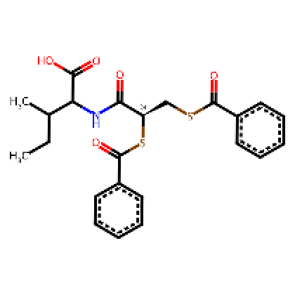 CCC(C)C(NC(=O)[C@@H](CSC(=O)c1ccccc1)SC(=O)c1ccccc1)C(=O)O